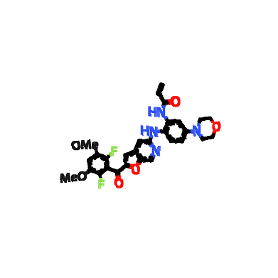 C=CC(=O)Nc1cc(N2CCOCC2)ccc1Nc1cc2cc(C(=O)c3c(F)c(OC)cc(OC)c3F)oc2cn1